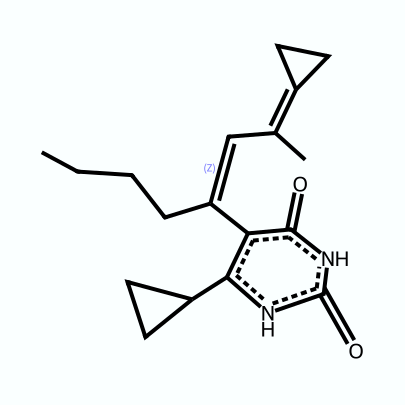 CCCC/C(=C/C(C)=C1CC1)c1c(C2CC2)[nH]c(=O)[nH]c1=O